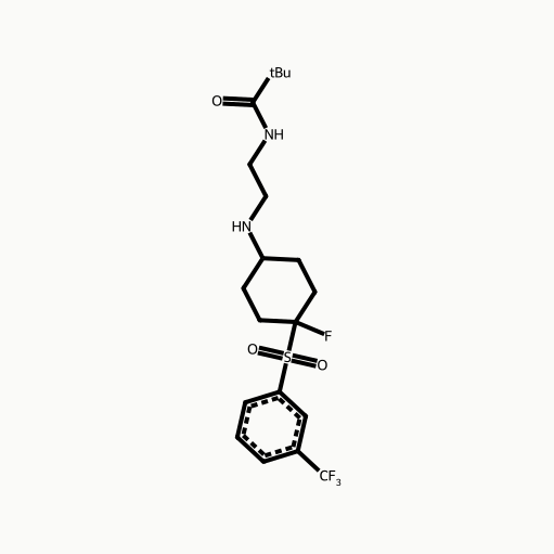 CC(C)(C)C(=O)NCCNC1CCC(F)(S(=O)(=O)c2cccc(C(F)(F)F)c2)CC1